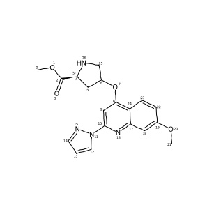 COC(=O)[C@@H]1CC(Oc2cc(-n3cccn3)nc3cc(OC)ccc23)CN1